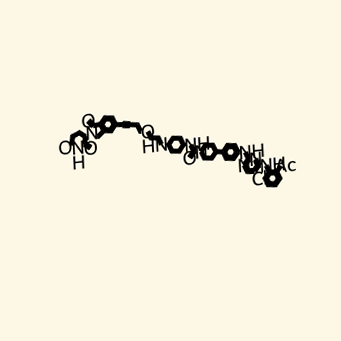 CC(=O)c1ccccc1Nc1nc(Nc2ccc(C3CCN(C(=O)N[C@H]4CC[C@H](NCCOCCC#Cc5ccc6c(c5)CN(C5CCC(=O)NC5=O)C6=O)CC4)CC3)cc2)ncc1Cl